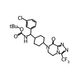 CC(C)(C)OC(=O)NC(c1cccc(Cl)c1)C1CCC(N2CCn3c(nnc3C(F)(F)F)C2=O)CC1